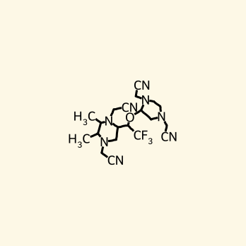 CC1C(C)N(CC#N)C(C(OC2CN(CC#N)CCN2CC#N)C(F)(F)F)CN1CC#N